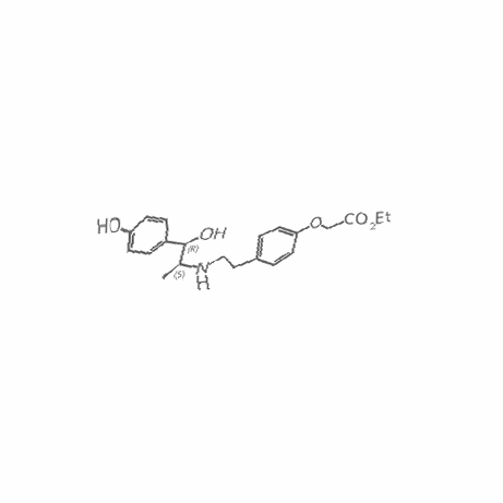 CCOC(=O)COc1ccc(CCN[C@@H](C)[C@H](O)c2ccc(O)cc2)cc1